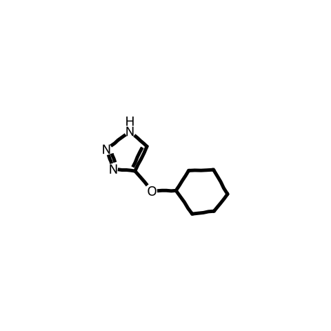 c1[nH]nnc1OC1CCCCC1